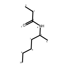 C[CH]C(=O)NC(C)CCCC